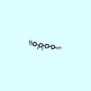 CCCc1ccc(-c2ccc(-c3ccc(-c4ccc(OCC)cc4)c(F)c3F)cc2)cc1